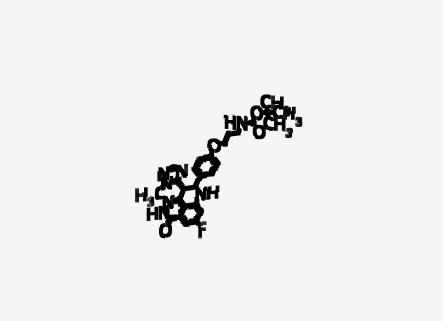 Cn1ncnc1C1c2n[nH]c(=O)c3cc(F)cc(c23)NC1c1ccc(OCCCNC(=O)OC(C)(C)C)cc1